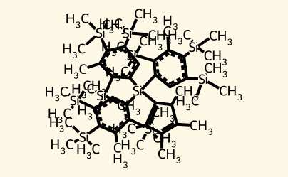 CC1=C(C)C(C)C([Si](c2cc([Si](C)(C)C)c([Si](C)(C)C)c(C)c2[Si](C)(C)C)(c2cc([Si](C)(C)C)c([Si](C)(C)C)c(C)c2[Si](C)(C)C)c2cc([Si](C)(C)C)c([Si](C)(C)C)c(C)c2[Si](C)(C)C)=C1C